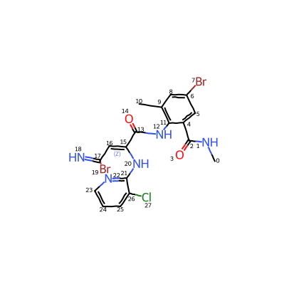 CNC(=O)c1cc(Br)cc(C)c1NC(=O)/C(=C/C(=N)Br)Nc1ncccc1Cl